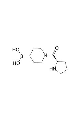 O=C([C@H]1CCCN1)N1CCC(B(O)O)CC1